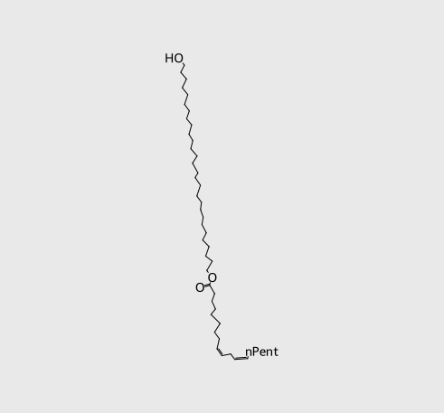 CCCCC/C=C\C/C=C\CCCCCCCC(=O)OCCCCCCCCCCCCCCCCCCCCCCCCCCCCO